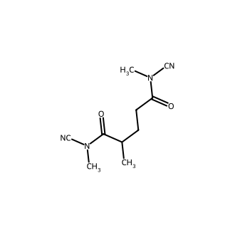 CC(CCC(=O)N(C)C#N)C(=O)N(C)C#N